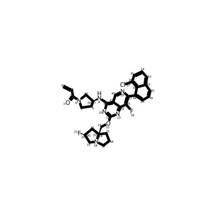 C=CC(=O)N1CC[C@H](Nc2nc(OC[C@@]34CCCN3C[C@H](F)C4)nc3c(F)c(-c4cccc5cccc(Cl)c45)ncc23)C1